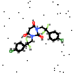 O=C1CC(=O)N(CC(F)(F)c2ccc(Cl)cc2)C(=O)N1CC(F)(F)c1ccc(Cl)cc1